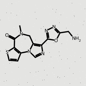 CN1Cc2c(-c3nnc(CN)o3)ncn2-c2ccsc2C1=O